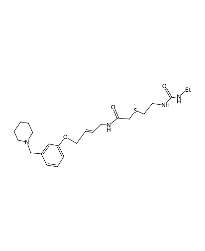 CCNC(=O)NCCSCC(=O)NCC=CCOc1cccc(CN2CCCCC2)c1